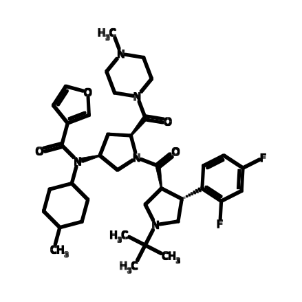 CC1CCC(N(C(=O)c2ccoc2)[C@H]2C[C@@H](C(=O)N3CCN(C)CC3)N(C(=O)[C@@H]3CN(C(C)(C)C)C[C@H]3c3ccc(F)cc3F)C2)CC1